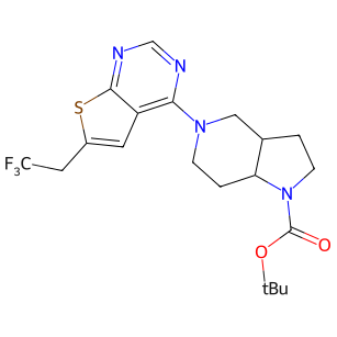 CC(C)(C)OC(=O)N1CCC2CN(c3ncnc4sc(CC(F)(F)F)cc34)CCC21